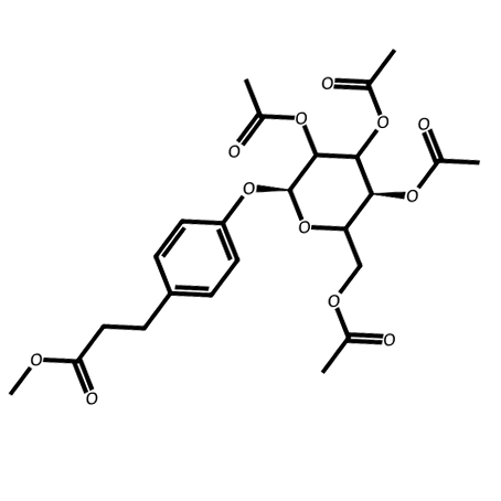 COC(=O)CCc1ccc(O[C@@H]2OC(COC(C)=O)[C@H](OC(C)=O)C(OC(C)=O)C2OC(C)=O)cc1